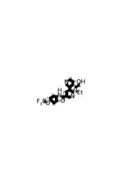 CCN(CCO)c1ncc(C(=O)Nc2ccc(OC(F)(F)F)cc2)cc1-c1cccnc1